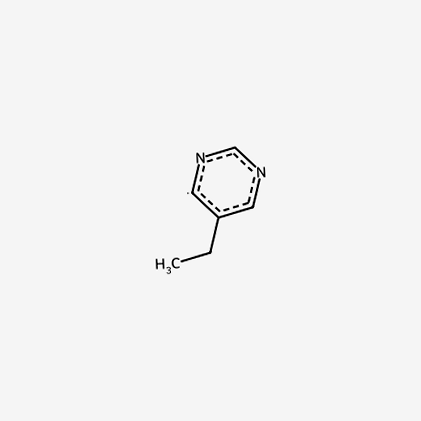 CCc1[c]ncnc1